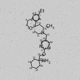 CCc1cc2c(s1)CCO[C@@]21CCN(Cc2cnc(OCC3(N)CCCCC3)nc2)[C@@H](C)C1